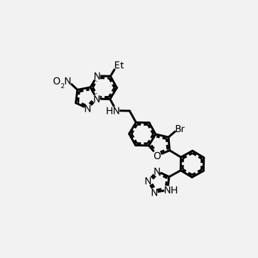 CCc1cc(NCc2ccc3oc(-c4ccccc4-c4nnn[nH]4)c(Br)c3c2)n2ncc([N+](=O)[O-])c2n1